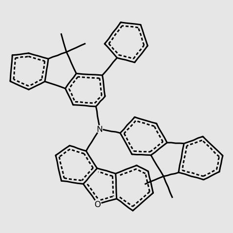 CC1(C)c2ccccc2-c2ccc(N(c3cc(-c4ccccc4)c4c(c3)-c3ccccc3C4(C)C)c3cccc4oc5ccccc5c34)cc21